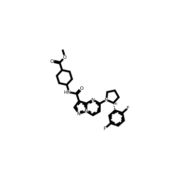 COC(=O)C1CCC(NC(=O)c2cnn3ccc(N4CCC[C@@H]4c4cc(F)ccc4F)nc23)CC1